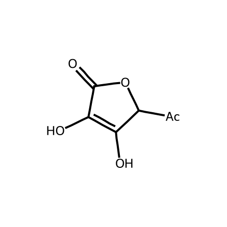 CC(=O)C1OC(=O)C(O)=C1O